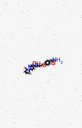 Cc1ccc(C)n1-c1ccc([C@H](O)CNCCOc2ccc(CC(N)=O)cc2)cn1